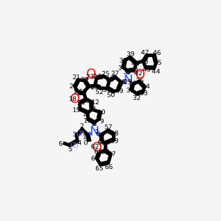 C=C(/C=C\C=C/C)N(c1ccc2cc3c(cc2c1)oc1ccc2oc4cc5cc(N(c6ccccc6)c6cccc7c6oc6ccccc67)ccc5cc4c2c13)c1cccc2c1oc1ccccc12